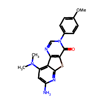 COc1ccc(-n2cnc3c(sc4nc(N)cc(N(C)C)c43)c2=O)cc1